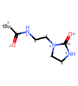 CC(C)(C)C(=O)NCCN1CCNC1=O